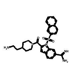 N=C(N)c1ccc2cc(C(=O)N3CCC(CCN)CC3)n(S(=O)(=O)c3ccc4ccccc4c3)c2c1